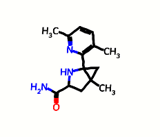 Cc1ccc(C)c(C23CC2(C)CC(C(N)=O)N3)n1